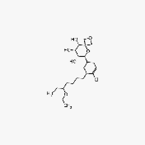 CCOC(CC)CCCCC1CC([C@@H]2OC3(COC3)[C@@H](O)[C@H](O)[C@H]2O)CC=C1Cl